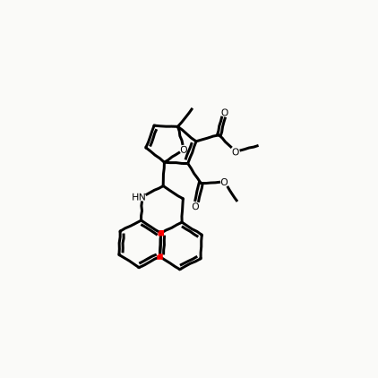 COC(=O)C1=C(C(=O)OC)C2(C(Cc3ccccc3)Nc3ccccc3)C=CC1(C)O2